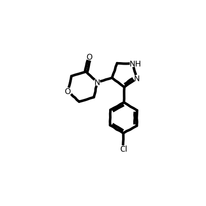 O=C1COCCN1C1CNN=C1c1ccc(Cl)cc1